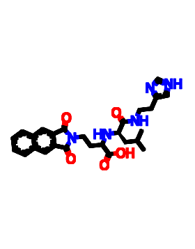 CC(C)C[C@@H](NC(CCN1C(=O)c2cc3ccccc3cc2C1=O)C(=O)O)C(=O)NCCc1c[nH]cn1